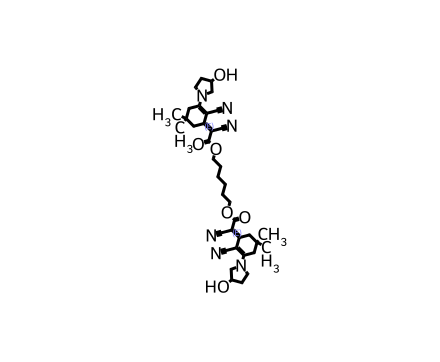 CC1(C)CC(N2CCC(O)C2)=C(C#N)/C(=C(\C#N)C(=O)OCCCCCCOC(=O)/C(C#N)=C2\CC(C)(C)CC(N3CCC(O)C3)=C2C#N)C1